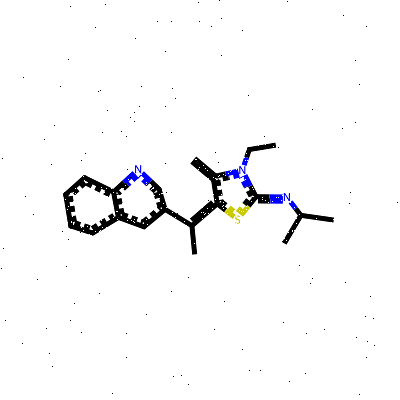 C=c1/c(=C(/C)c2cnc3ccccc3c2)sc(=NC(C)C)n1CC